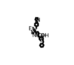 CCN(Cc1ccc(-n2cccn2)cc1)c1ncnc2c1ccn2C[C@]1(O)CCN(Cc2ccccc2)C[C@H]1O